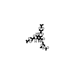 CC(=O)OCC(CNC(=O)c1c(I)c(NC(=O)C2COC(C(C)C)OC2)c(I)c(NC(=O)C2COC(C(C)C)OC2)c1I)OC(C)=O